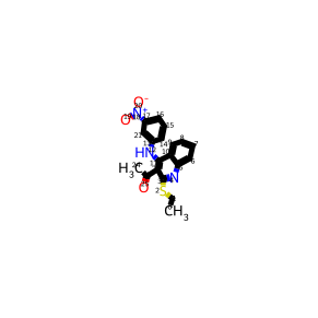 CCSc1nc2ccccc2c(Nc2cccc([N+](=O)[O-])c2)c1C(C)=O